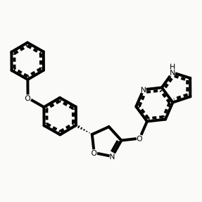 c1ccc(Oc2ccc([C@@H]3CC(Oc4cnc5[nH]ccc5c4)=NO3)cc2)cc1